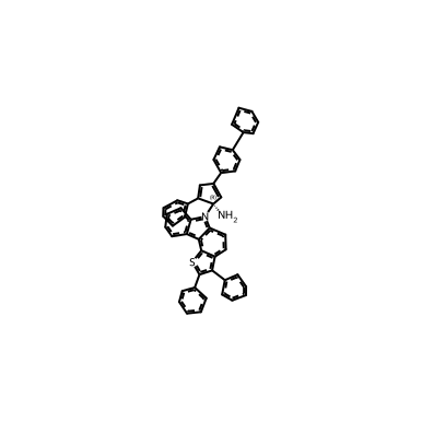 N[C@@]1(n2c3ccccc3c3c4sc(-c5ccccc5)c(-c5ccccc5)c4ccc32)C=C(c2ccc(-c3ccccc3)cc2)C=C1c1ccccc1